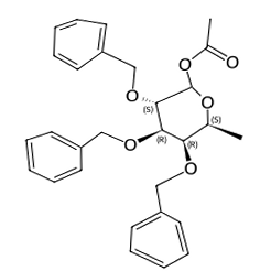 CC(=O)OC1O[C@@H](C)[C@@H](OCc2ccccc2)[C@@H](OCc2ccccc2)[C@@H]1OCc1ccccc1